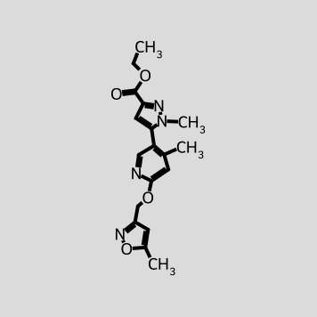 CCOC(=O)c1cc(-c2cnc(OCc3cc(C)on3)cc2C)n(C)n1